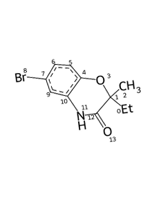 CCC1(C)Oc2ccc(Br)cc2NC1=O